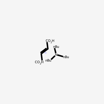 CCCCN(CCCC)CCCC.O=C(O)/C=C/C(=O)O